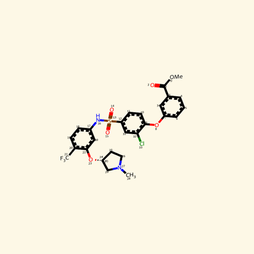 COC(=O)c1cccc(Oc2ccc(S(=O)(=O)Nc3ccc(C(F)(F)F)c(O[C@@H]4CCN(C)C4)c3)cc2Cl)c1